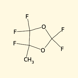 CC1(F)OC(F)(F)OC1(F)F